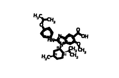 COc1cc2c(cc1C(=O)O)nc(Nc1ccc(OC(C)C)cc1)n2[C@@H]1C[C@H](C)CC[C@H]1C(C)C